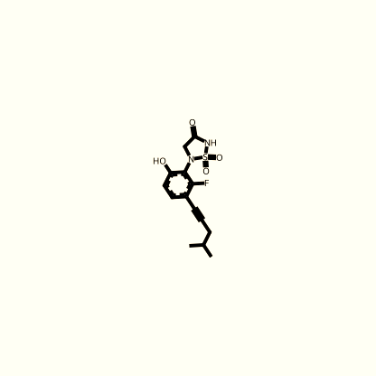 CC(C)CC#Cc1ccc(O)c(N2CC(=O)NS2(=O)=O)c1F